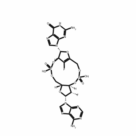 Nc1nc2c(ncn2[C@@H]2OC3=C(F)[C@@H]2OP(=O)(S)OC[C@H]2O[C@@H](n4cnc5c(N)ncnc54)[C@@H](F)[C@@H]2OP(=O)(O)OC3)c(=O)[nH]1